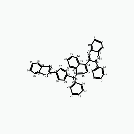 c1ccc(-c2nc3ccccc3nc2-c2ccc(N(c3ccccc3)c3ccc(-c4nc5ccccc5o4)cc3)c3ccccc23)cc1